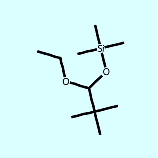 CCOC(O[Si](C)(C)C)C(C)(C)C